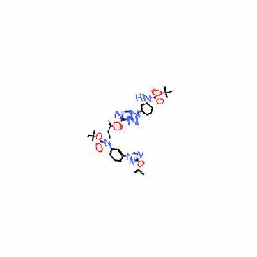 CC(C)Oc1ncn(C2=CC(N(CCC(C)Oc3ncn(C4CCCC(NC(=O)OC(C)(C)C)C4)n3)C(=O)OC(C)(C)C)CCC2)n1